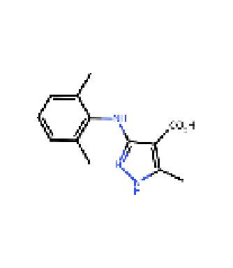 Cc1cccc(C)c1Nc1n[nH]c(C)c1C(=O)O